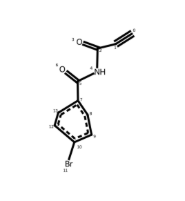 C#CC(=O)NC(=O)c1ccc(Br)cc1